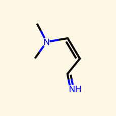 CN(C)/C=C\C=N